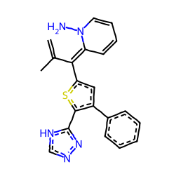 C=C(C)/C(=C1/C=CC=CN1N)c1cc(-c2ccccc2)c(-c2nnc[nH]2)s1